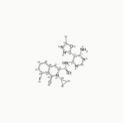 CC[C@H](Nc1ncnc(N)c1-c1nnc(C)o1)c1cc2cccc(F)c2c(=O)n1C1CC1